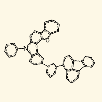 c1ccc(-n2c3ccc(-c4cccc(-c5ccc6c7c(cccc57)-c5ccccc5-6)c4)cc3c3c4oc5ccccc5c4ccc32)cc1